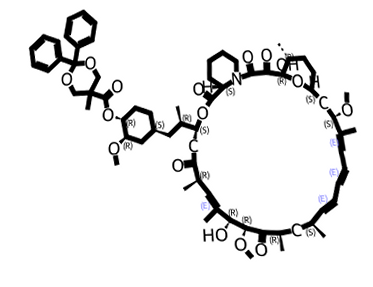 CO[C@H]1C[C@@H]2CC[C@@H](C)[C@@](O)(O2)C(=O)C(=O)N2CCCC[C@H]2C(=O)O[C@H]([C@H](C)C[C@@H]2CC[C@@H](OC(=O)C3(C)COC(c4ccccc4)(c4ccccc4)OC3)[C@H](OC)C2)CC(=O)[C@H](C)/C=C(\C)[C@@H](O)[C@@H](OC)C(=O)[C@H](C)C[C@H](C)/C=C/C=C/C=C/1C